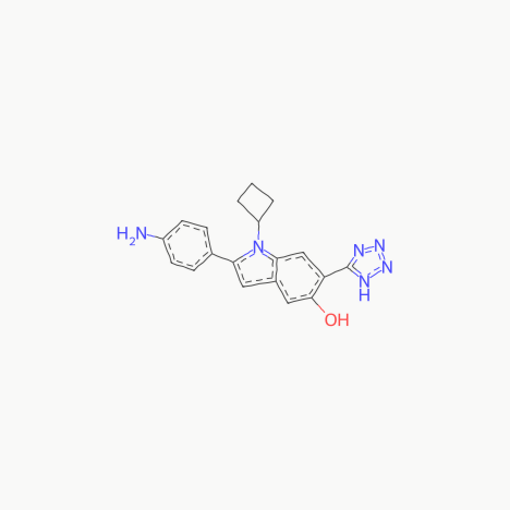 Nc1ccc(-c2cc3cc(O)c(-c4nnn[nH]4)cc3n2C2CCC2)cc1